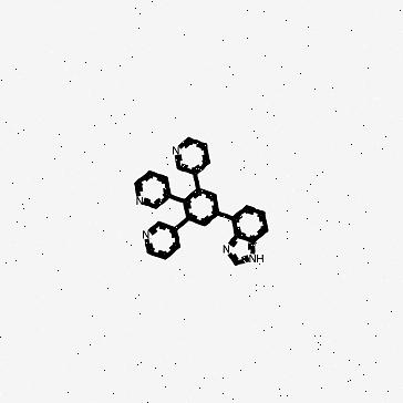 c1cncc(-c2cc(-c3cccc4[nH]cnc34)cc(-c3cccnc3)c2-c2cccnc2)c1